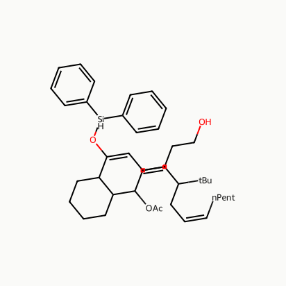 CCCCC/C=C\CC(/C=C/C=C(/O[SiH](c1ccccc1)c1ccccc1)C1CCCCC1C(CCCCO)OC(C)=O)C(C)(C)C